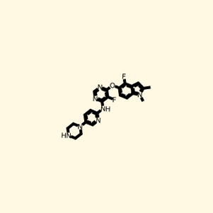 Cc1cc2c(F)c(Oc3ncnc(Nc4ccc(N5CCNCC5)cn4)c3F)ccc2n1C